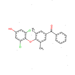 Cc1cc(C(=O)c2ccccc2)cc(C)c1Oc1c(Cl)cc(O)cc1Cl